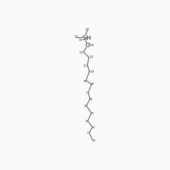 CCCCCCCCCCCCCCO[SiH](C)C